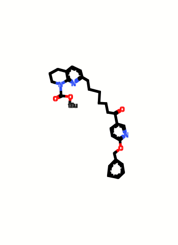 CC(C)(C)OC(=O)N1CCCc2ccc(CCCCCCC(=O)c3ccc(OCc4ccccc4)nc3)nc21